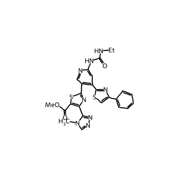 CCNC(=O)Nc1cc(-c2nc(-c3ccccc3)cs2)c(-c2nc(-c3nncn3C)c(C(=O)OC)s2)cn1